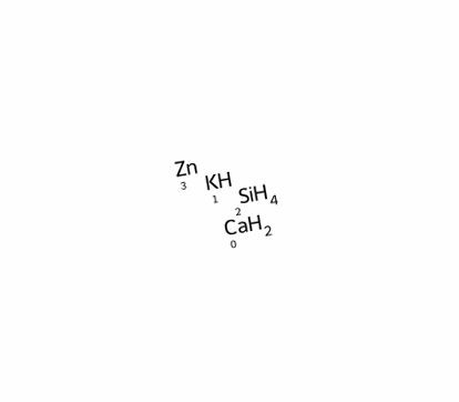 [CaH2].[KH].[SiH4].[Zn]